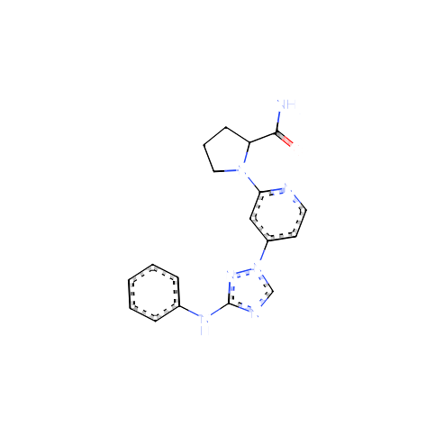 NC(=O)C1CCCN1c1cc(-n2cnc(Nc3ccccc3)n2)ccn1